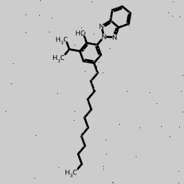 CCCCCCCCCCCCc1cc(C(C)C)c(O)c(-n2nc3ccccc3n2)c1